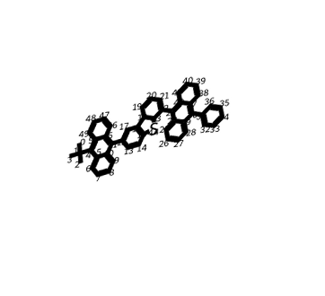 CC(C)(C)c1c2ccccc2c(-c2ccc3c(c2)C2C=CC=C(c4c5ccccc5c(-c5ccccc5)c5ccccc45)C2S3)c2ccccc12